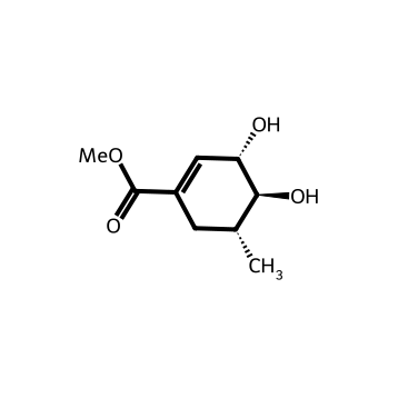 COC(=O)C1=C[C@H](O)[C@@H](O)[C@H](C)C1